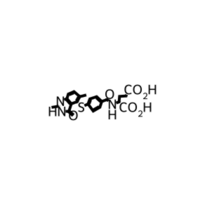 Cc1nc2ccc(C)c(Sc3ccc(C(=O)N[C@@H](CCC(=O)O)C(=O)O)cc3)c2c(=O)[nH]1